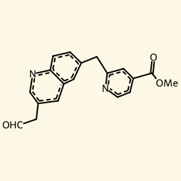 COC(=O)c1ccnc(Cc2ccc3ncc(CC=O)cc3c2)c1